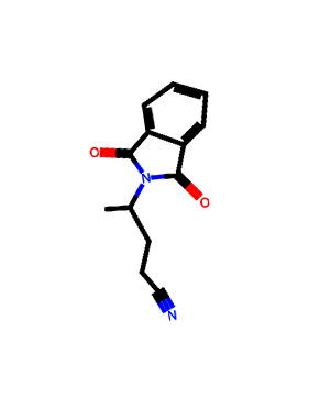 CC(CCC#N)N1C(=O)c2ccccc2C1=O